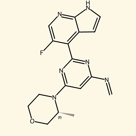 C=Nc1cc(N2CCOC[C@H]2C)nc(-c2c(F)cnc3[nH]ccc23)n1